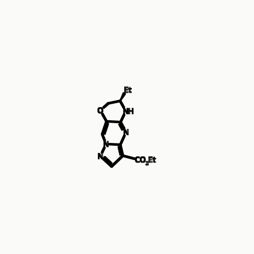 CCOC(=O)c1cnn2cc3c(nc12)N[C@H](CC)CO3